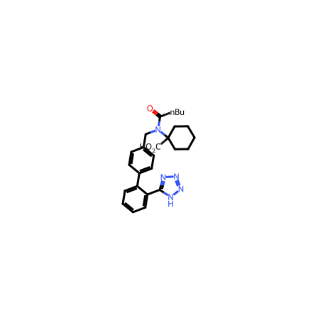 CCCCC(=O)N(Cc1ccc(-c2ccccc2-c2nnn[nH]2)cc1)C1(C(=O)O)CCCCC1